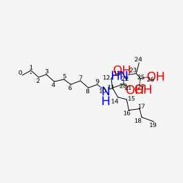 C[CH]CCCCCCCCNC(CO)(CCCCCC)C(O)NC(C)C(O)O